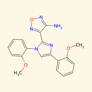 COc1ccccc1-c1cn(-c2ccccc2OC)c(-c2nonc2N)n1